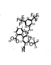 COC(=O)c1cccc2c1c(C=C(C#N)C(=O)OC(C)(C)C)cn2Cc1cc(C(F)(F)F)cc(C(F)(F)F)c1